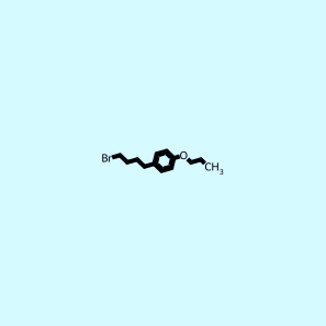 CCCOc1ccc(CCCCBr)cc1